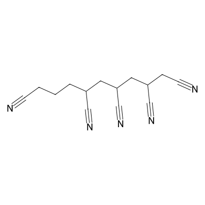 N#CCCCC(C#N)CC(C#N)CC(C#N)CC#N